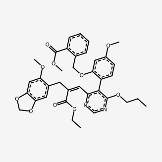 CCCOc1ncnc(C=C(Cc2cc3c(cc2OC)OCO3)C(=O)OCC)c1-c1ccc(OC)cc1OCc1ccccc1C(=O)OC